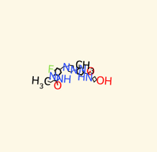 CCc1nc2c(F)cc(CN3CCN(c4ccc(C(=O)NC5CC(O)C5)nc4C)CC3)cc2[nH]c1=O